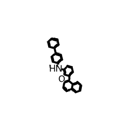 c1ccc(-c2ccc(Nc3cccc4c3oc3ccc5ccccc5c34)cc2)cc1